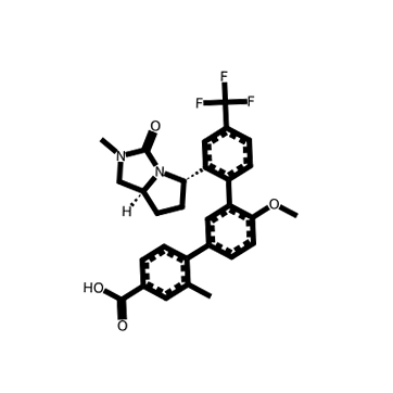 COc1ccc(-c2ccc(C(=O)O)cc2C)cc1-c1ccc(C(F)(F)F)cc1[C@@H]1CC[C@H]2CN(C)C(=O)N21